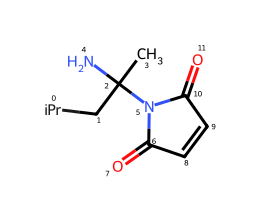 CC(C)CC(C)(N)N1C(=O)C=CC1=O